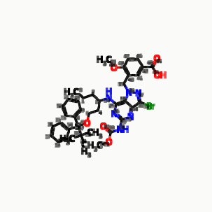 CCCC(CCO[Si](c1ccccc1)(c1ccccc1)C(C)(C)C)Nc1nc(NC(=O)OC)nc2c(Br)nn(Cc3cc(C(=O)O)ccc3OC)c12